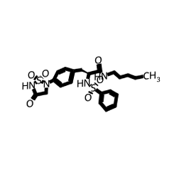 CCCCCNC(=O)[C@H](Cc1ccc(N2CC(=O)NS2(=O)=O)cc1)NS(=O)(=O)c1ccccc1